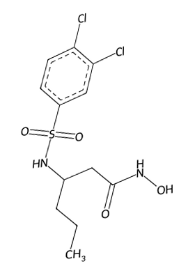 CCCC(CC(=O)NO)NS(=O)(=O)c1ccc(Cl)c(Cl)c1